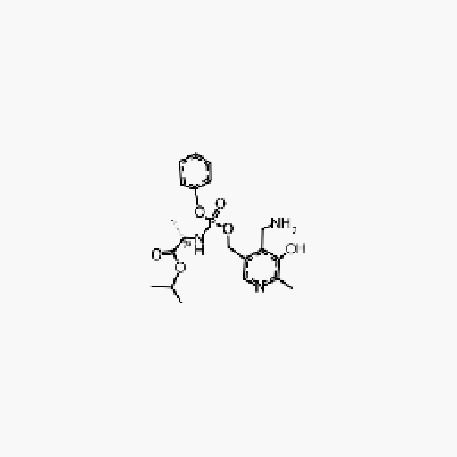 Cc1ncc(COP(=O)(N[C@@H](C)C(=O)OC(C)C)Oc2ccccc2)c(CN)c1O